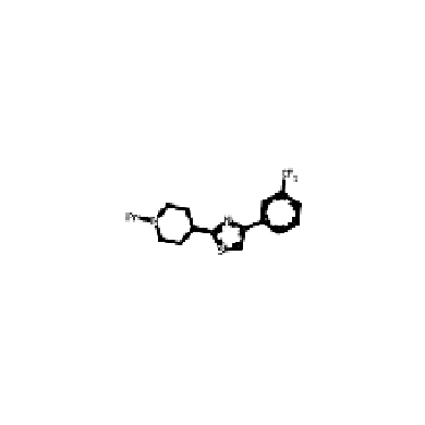 CC(C)N1CCC(c2nc(-c3cccc(C(F)(F)F)c3)cs2)CC1